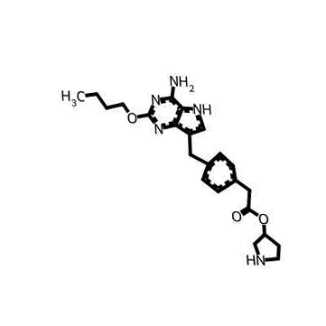 CCCCOc1nc(N)c2[nH]cc(Cc3ccc(CC(=O)OC4CCNC4)cc3)c2n1